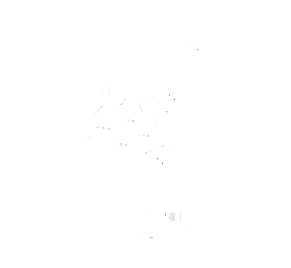 NC(CO)CCCNS(=O)(=O)c1cc(S(=O)(=O)NCCCC(N)C(=O)O)c2ccc3c(O)cc(O)c4ccc1c2c43